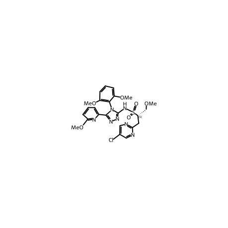 COC[C@H](Cc1ncc(Cl)cn1)S(=O)(=O)Nc1nnc(-c2cccc(OC)n2)n1-c1c(OC)cccc1OC